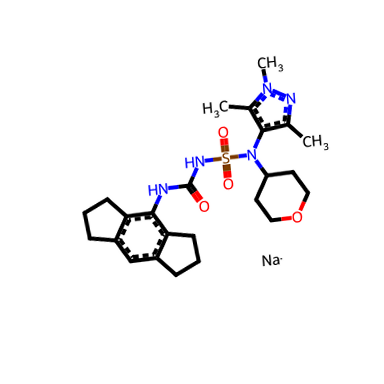 Cc1nn(C)c(C)c1N(C1CCOCC1)S(=O)(=O)NC(=O)Nc1c2c(cc3c1CCC3)CCC2.[Na]